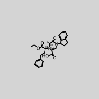 CCOC(=O)[C@H](CCc1ccccc1)N[C@@H](C)C(=O)N(CCC(=O)O)C1CCc2ccccc21